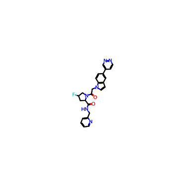 O=C(NCc1ccccn1)C1CC(F)CN1C(=O)Cn1ccc2cc(-c3ccnnc3)ccc21